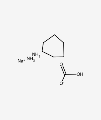 C1CCCCC1.N.N.O=C([O-])O.[Na+]